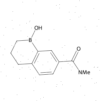 CNC(=O)c1ccc2c(c1)B(O)CCC2